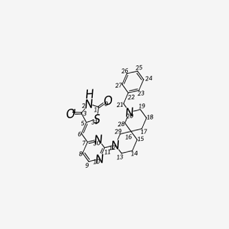 O=C1NC(=O)C(=Cc2ccnc(N3CCCC4(CCCN(Cc5ccccc5)C4)C3)n2)S1